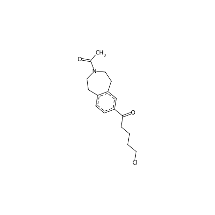 CC(=O)N1CCc2ccc(C(=O)CCCCCl)cc2CC1